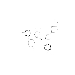 CCO[C@H]1CC[C@H](N2C[C@H](C(=O)N3C[C@@H](c4ccc(C(F)(F)F)cc4N4CCC(C(=O)O)CC4)C[C@@H]3COC)[C@@H](c3ccc(OC)cc3)C2)CC1